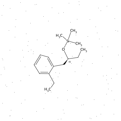 CCc1ccccc1C[C@H](CC)O[Si](C)(C)C